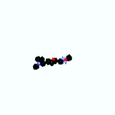 Cn1c(-c2ccccc2)nc2cc(-c3ccc4c(c3)C(C)(C)c3cc(-c5ccc6c7c5ccc5cccc(c57)n6-c5ccccc5)ccc3-4)ccc21